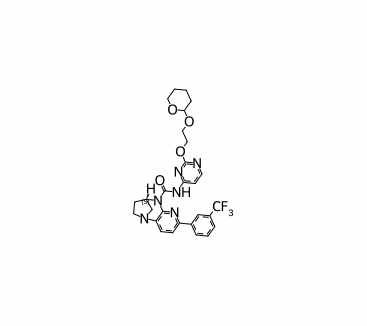 O=C(Nc1ccnc(OCCOC2CCCCO2)n1)N1c2nc(-c3cccc(C(F)(F)F)c3)ccc2N2CC[C@H]1C2